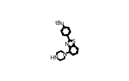 CC(C)(C)c1ccc(-c2nc3c(N4CCNCC4)cccc3s2)cc1